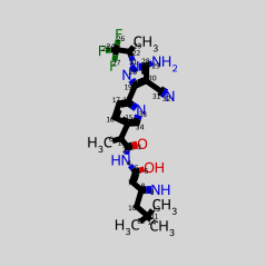 CC(C(=O)N/C(O)=C/C(=N)CC(C)(C)C)c1ccc(-c2nn(C(C)C(F)(F)F)c(N)c2C#N)nc1